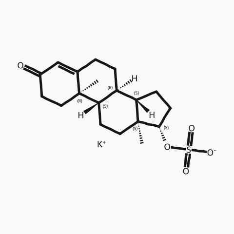 C[C@]12CC[C@H]3[C@@H](CCC4=CC(=O)CC[C@@]43C)[C@@H]1CC[C@@H]2OS(=O)(=O)[O-].[K+]